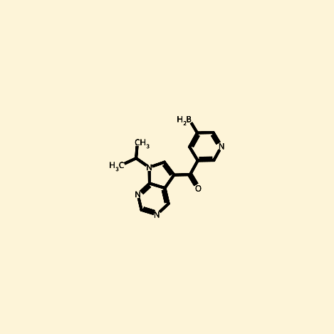 Bc1cncc(C(=O)c2cn(C(C)C)c3ncncc23)c1